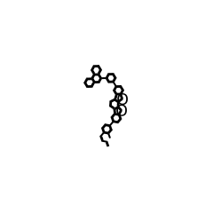 C=C/C=C\c1ccc(-c2ccc3oc4c(ccc5c6cc(-c7cccc(-c8cc9ccccc9c9ccccc89)c7)ccc6oc54)c3c2)cc1C